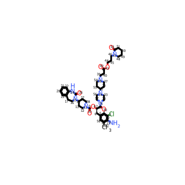 Nc1c(Cl)cc(C[C@@H](OC(=O)N2CCC(N3CCc4ccccc4NC3=O)CC2)C(=O)N2CCN(C3CCN(CCC(=O)OCCCN4CCCCC4=O)CC3)CC2)cc1C(F)(F)F